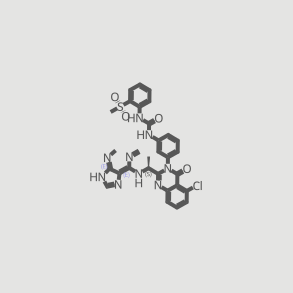 C=N/C(N[C@@H](C)c1nc2cccc(Cl)c2c(=O)n1-c1cccc(NC(=O)Nc2ccccc2S(C)(=O)=O)c1)=C1/N=CN/C1=N/C